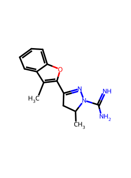 Cc1c(C2=NN(C(=N)N)C(C)C2)oc2ccccc12